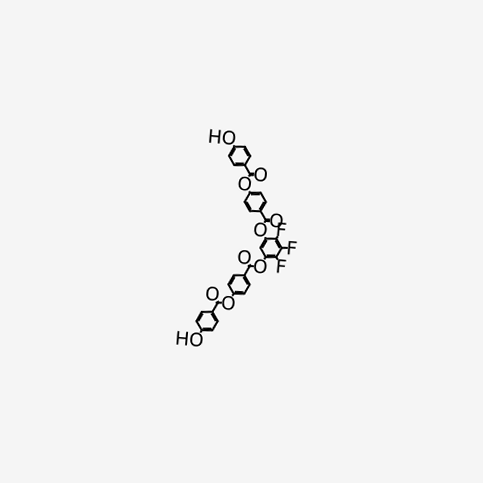 O=C(Oc1ccc(C(=O)Oc2cc(OC(=O)c3ccc(OC(=O)c4ccc(O)cc4)cc3)c(F)c(F)c2F)cc1)c1ccc(O)cc1